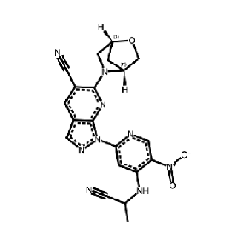 CC(C#N)Nc1cc(-n2ncc3cc(C#N)c(N4C[C@H]5C[C@@H]4CO5)nc32)ncc1[N+](=O)[O-]